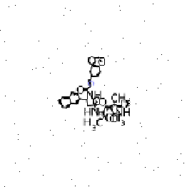 CC(C)[C@H](NC(=O)CC(NC(=O)/C=C/c1ccc2c(c1)OCO2)c1ccc2ccccc2c1)C(=O)[C@@H]1C(=O)NC(=O)[C@H]1C